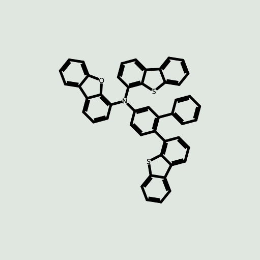 c1ccc(-c2cc(N(c3cccc4c3oc3ccccc34)c3cccc4c3sc3ccccc34)ccc2-c2cccc3c2sc2ccccc23)cc1